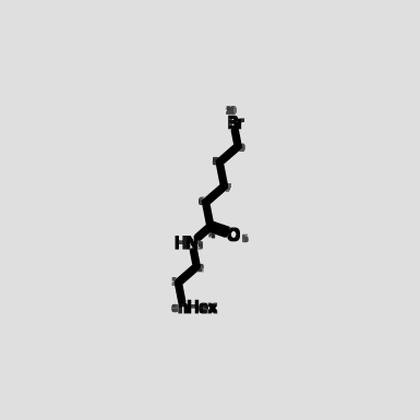 CCCCCCCCNC(=O)CCCCBr